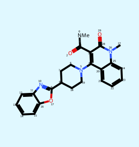 CNC(=O)c1c(N2CCC(c3nc4ccccc4o3)CC2)c2ccccc2n(C)c1=O